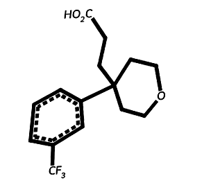 O=C(O)CCC1(c2cccc(C(F)(F)F)c2)CCOCC1